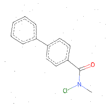 CN(Cl)C(=O)c1ccc(-c2ccccc2)cc1